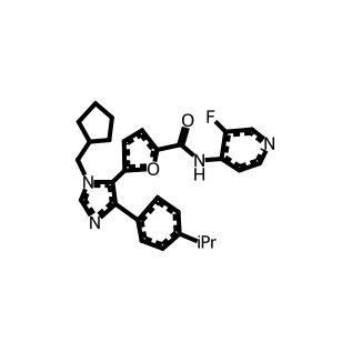 CC(C)c1ccc(-c2ncn(CC3CCCC3)c2-c2ccc(C(=O)Nc3ccncc3F)o2)cc1